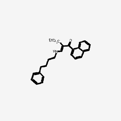 CCOC(=O)C(=CNCCCCc1ccccc1)C(=O)c1cccc2ccccc12